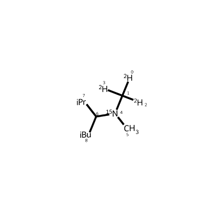 [2H]C([2H])([2H])[15N](C)C(C(C)C)C(C)CC